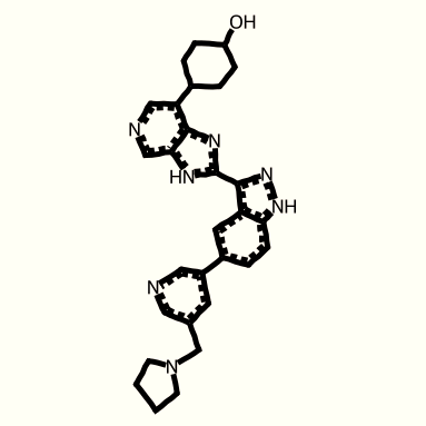 OC1CCC(c2cncc3[nH]c(-c4n[nH]c5ccc(-c6cncc(CN7CCCC7)c6)cc45)nc23)CC1